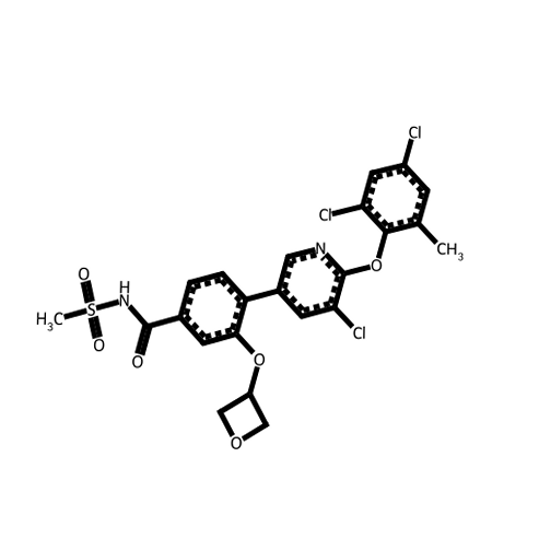 Cc1cc(Cl)cc(Cl)c1Oc1ncc(-c2ccc(C(=O)NS(C)(=O)=O)cc2OC2COC2)cc1Cl